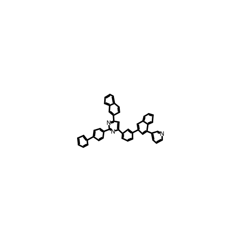 c1ccc(-c2ccc(-c3nc(-c4cccc(-c5cc(-c6cccnc6)c6ccccc6c5)c4)cc(-c4ccc5ccccc5c4)n3)cc2)cc1